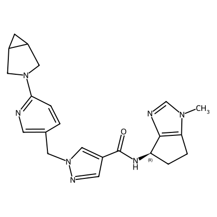 Cn1cnc2c1CC[C@H]2NC(=O)c1cnn(Cc2ccc(N3CC4CC4C3)nc2)c1